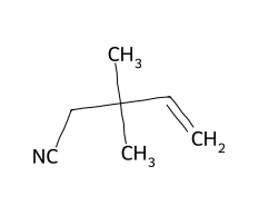 C=CC(C)(C)CC#N